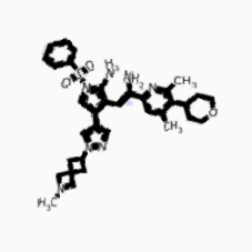 Cc1cc(/C(N)=C/c2c(-c3cnn(C4CC5(C4)CN(C)C5)c3)cn(S(=O)(=O)c3ccccc3)c2N)nc(C)c1C1CCOCC1